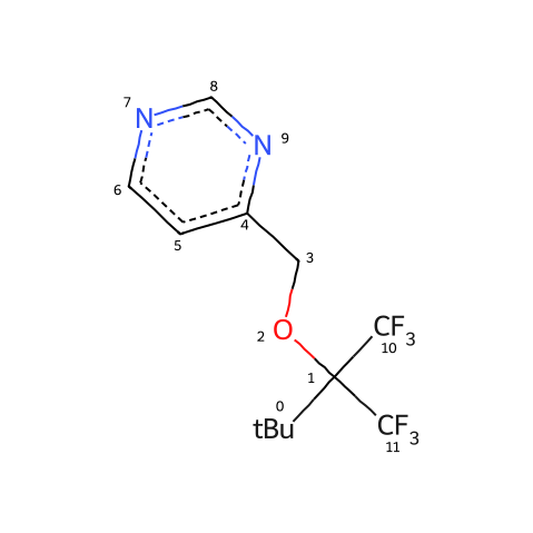 CC(C)(C)C(OCc1ccncn1)(C(F)(F)F)C(F)(F)F